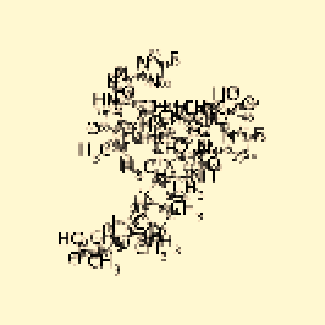 CC(C)C1=C2[C@H]3CC[C@@H]4[C@@]5(C)CC[C@H](OC(=O)CC(C)(C)C(=O)O)C(C)(C)[C@@H]5CC[C@@]4(C)[C@]3(C)CC[C@@]2(Nc2nnc(-c3ccc(F)c(CC(C)(CC(=O)O[C@H]4CC[C@]5(C)[C@H]6CC[C@@H]7C8=C(C(C)C)C(=O)C[C@]8(Nc8nnc(-c9ncc(F)cn9)o8)CC[C@@]7(C)[C@]6(C)CC[C@H]5C4(C)C)C(=O)O)n3)o2)CC1=O